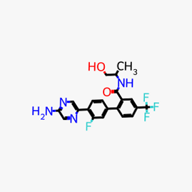 CC(CO)NC(=O)c1cc(C(F)(F)F)ccc1-c1ccc(-c2cnc(N)cn2)c(F)c1